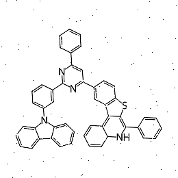 C1=CC2=c3c(sc4ccc(-c5cc(-c6ccccc6)nc(-c6cccc(-n7c8ccccc8c8ccccc87)c6)n5)cc34)=C(c3ccccc3)NC2C=C1